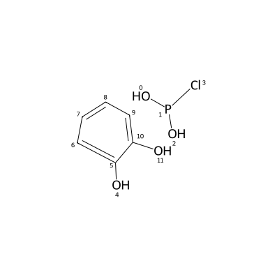 OP(O)Cl.Oc1ccccc1O